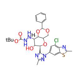 Cc1nc([C@@H]2OC3COC(c4ccccc4)O[C@@H]3C(NNC(=O)OC(C)(C)C)C2O)n(-c2cc(Cl)c3nc(C)sc3c2)n1